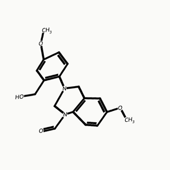 COc1ccc2c(c1)CN(c1ccc(OC)cc1CO)CN2C=O